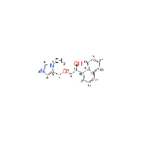 Cn1cncc1COCC(O)c1cccc2ccccc12